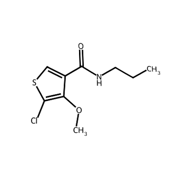 CCCNC(=O)c1csc(Cl)c1OC